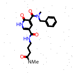 CNC(=O)CCCNC(=O)c1c[nH]c(=O)c(C(=O)N(C)Cc2ccccc2)c1